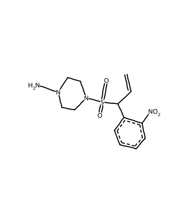 C=CC(c1ccccc1[N+](=O)[O-])S(=O)(=O)N1CCN(N)CC1